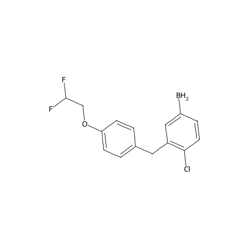 Bc1ccc(Cl)c(Cc2ccc(OCC(F)F)cc2)c1